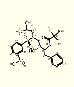 CC(C)ON(C[C@@H](O)[C@H](Cc1ccccc1)NC(=O)C(F)(F)F)S(=O)(=O)c1cccc([N+](=O)[O-])c1